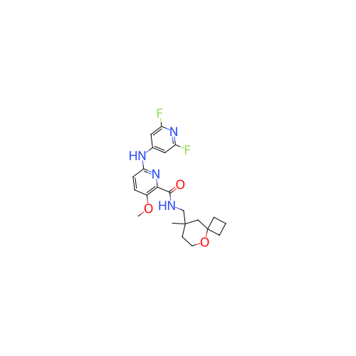 COc1ccc(Nc2cc(F)nc(F)c2)nc1C(=O)NCC1(C)CCOC2(CCC2)C1